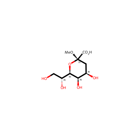 CO[C@@]1(C(=O)O)C[C@@H](O)[C@@H](O)[C@@H]([C@H](O)CO)O1